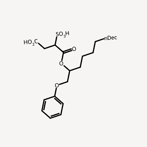 CCCCCCCCCCCCCCC(COc1ccccc1)OC(=O)C(CC(=O)O)S(=O)(=O)O